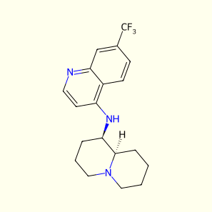 FC(F)(F)c1ccc2c(N[C@@H]3CCCN4CCCC[C@H]34)ccnc2c1